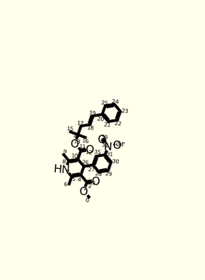 COC(=O)C1=C(C)NC(C)=C(C(=O)OC(C)(C)C/C=C/c2ccccc2)C1c1cccc([N+](=O)[O-])c1